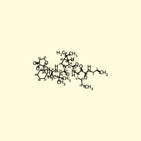 C=CCNC(=O)C(=O)[C@H](CCCC)NC(=O)[C@@H]1[C@@H]2C(CN1C(=O)[C@@H](NC(=O)NC1([C@@H]3OCCS3(=O)=O)CCCCC1)C(C)(C)C)C2(C)C